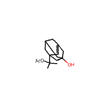 CC(=O)OC(C)(C)C12C=C3CC(CC(O)(C3)C1)C2